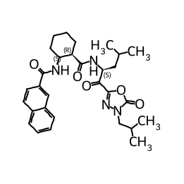 CC(C)C[C@H](NC(=O)[C@@H]1CCCC[C@@H]1NC(=O)c1ccc2ccccc2c1)C(=O)c1nn(CC(C)C)c(=O)o1